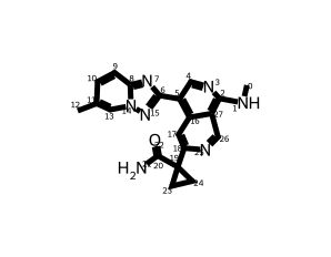 CNc1ncc(-c2nc3ccc(C)cn3n2)c2cc(C3(C(N)=O)CC3)ncc12